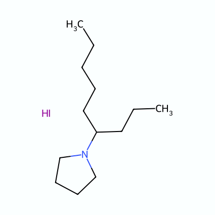 CCCCCC(CCC)N1CCCC1.I